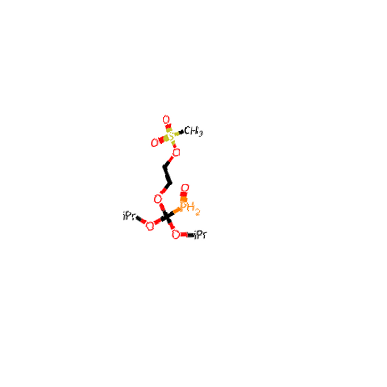 CC(C)OC(OCCOS(C)(=O)=O)(OC(C)C)[PH2]=O